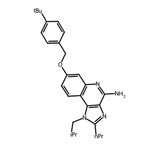 CCCc1nc2c(N)nc3cc(OCc4ccc(C(C)(C)C)cc4)ccc3c2n1CC(C)C